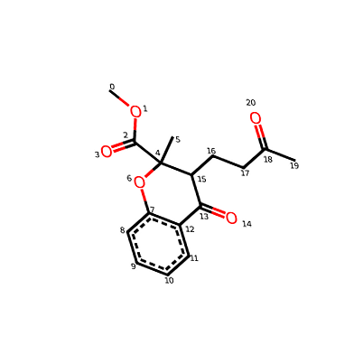 COC(=O)C1(C)Oc2ccccc2C(=O)C1CCC(C)=O